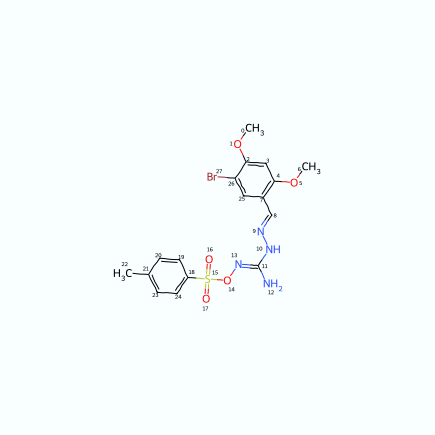 COc1cc(OC)c(C=NNC(N)=NOS(=O)(=O)c2ccc(C)cc2)cc1Br